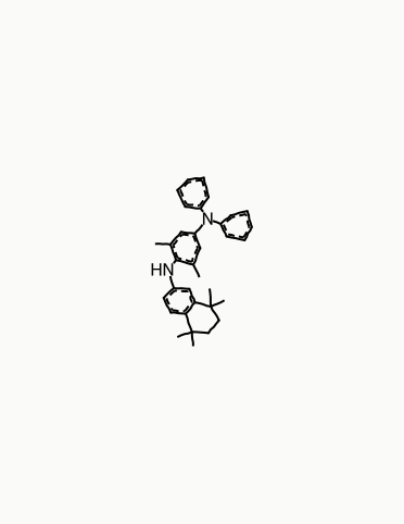 Cc1cc(N(c2ccccc2)c2ccccc2)cc(C)c1Nc1ccc2c(c1)C(C)(C)CCC2(C)C